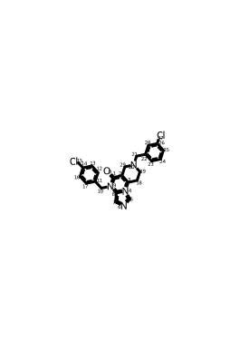 O=c1c2c(n3cncc3n1Cc1ccc(Cl)cc1)CCN(Cc1cccc(Cl)c1)C2